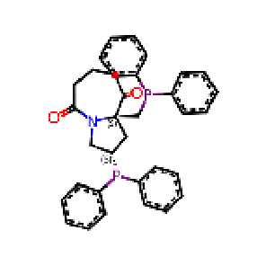 O=C1CCCC(=O)[C@]2(CP(c3ccccc3)c3ccccc3)C[C@H](P(c3ccccc3)c3ccccc3)CN12